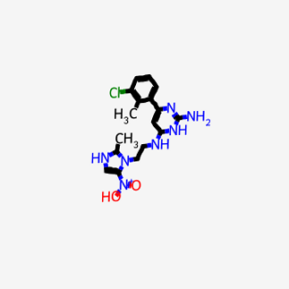 Cc1c(Cl)cccc1C1=CC(NCCN2C([N+](=O)O)=CNC2C)NC(N)=N1